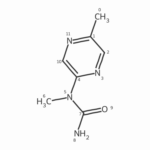 Cc1cnc(N(C)C(N)=O)cn1